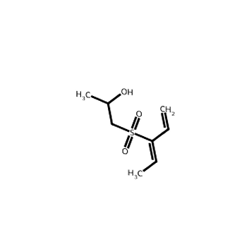 C=CC(=CC)S(=O)(=O)CC(C)O